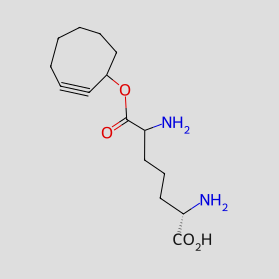 NC(CCC[C@H](N)C(=O)O)C(=O)OC1C#CCCCCC1